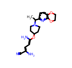 CC(c1ccc2c(n1)OCCO2)N1CCC(O/C(N)=C/C=C(\N)C#N)CC1